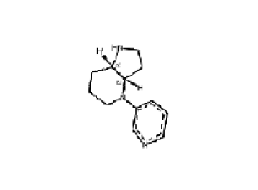 c1cncc(N2CCC[C@@H]3NCC[C@@H]32)c1